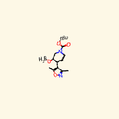 BOC1CN(C(=O)OC(C)(C)C)CCC1c1c(C)noc1C